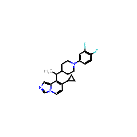 CC(c1c(C2CC2)ccn2cncc12)C1CCN(c2ccc(F)c(F)c2)CC1